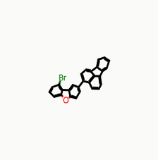 Brc1cccc2oc3ccc(-c4ccc5c6c(cccc46)-c4ccccc4-5)cc3c12